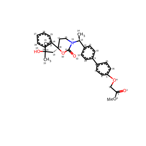 COC(=O)COc1ccc(-c2ccc([C@H](C)N3CC[C@](CC(C)(C)O)(c4ccccc4)OC3=O)cc2)cc1